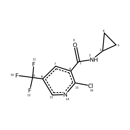 O=C(NC1CC1)c1cc(C(F)(F)F)cnc1Cl